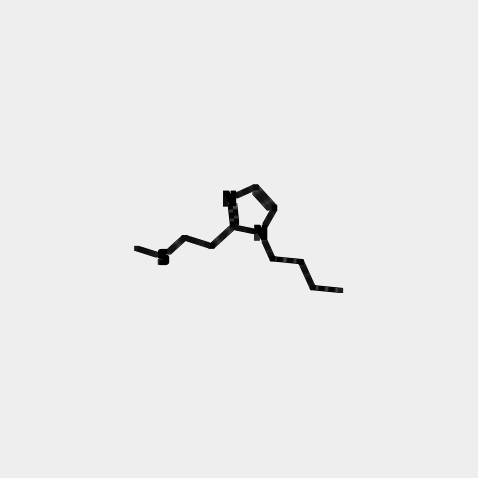 CCCCn1ccnc1CCSC